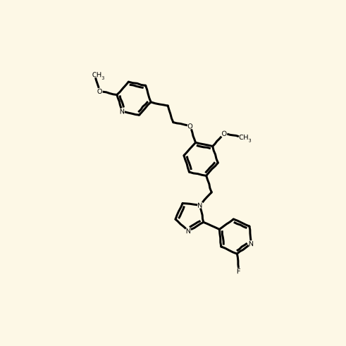 COc1ccc(CCOc2ccc(Cn3ccnc3-c3ccnc(F)c3)cc2OC)cn1